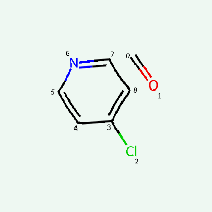 C=O.Clc1ccncc1